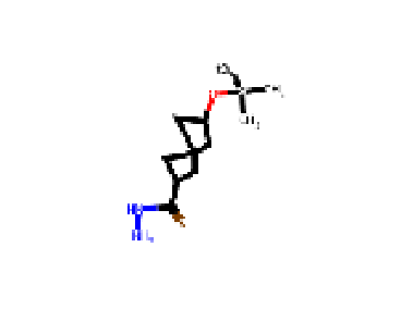 CC(C)(C)[Si](C)(C)OC1CC2(C1)CC(C(=S)NN)C2